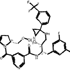 COC[C@H]1CCCN1C(=O)c1cncc(C(=O)N[C@@H](Cc2cc(F)cc(F)c2)[C@H](O)CNC2(c3cccc(C(F)(F)F)c3)CC2)c1